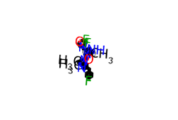 C[C@@H]1CN(CC(=O)N2CC(C)(C)c3ncc(Cc4ccc(F)cc4)cc32)[C@@H](CN2CCOCC(F)(F)C2)CN1